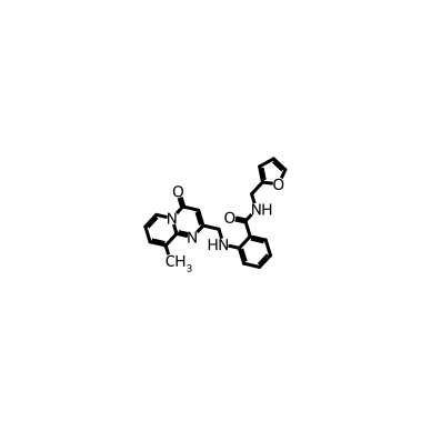 Cc1cccn2c(=O)cc(CNc3ccccc3C(=O)NCc3ccco3)nc12